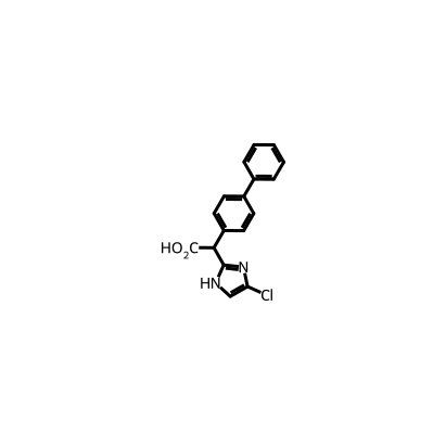 O=C(O)C(c1ccc(-c2ccccc2)cc1)c1nc(Cl)c[nH]1